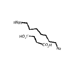 CCCCCCCCCCCCCCC[CH2][Na].O=C(O)CCC(=O)O